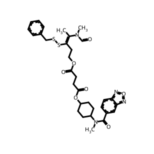 C/C(=C(/CCOC(=O)CCC(=O)OC1CCC(N(C)C(=O)c2ccc3nonc3c2)CC1)SSCc1ccccc1)N(C)C=O